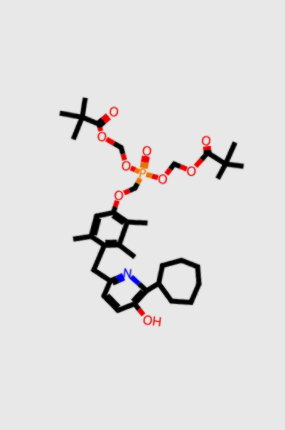 Cc1cc(OCP(=O)(OCOC(=O)C(C)(C)C)OCOC(=O)C(C)(C)C)c(C)c(C)c1Cc1ccc(O)c(C2CCCCCC2)n1